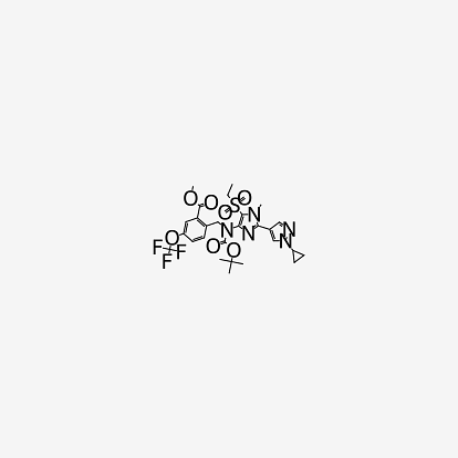 CCS(=O)(=O)c1c(N(Cc2ccc(OC(F)(F)F)cc2C(=O)OC)C(=O)OC(C)(C)C)nc(-c2cnn(C3CC3)c2)n1C